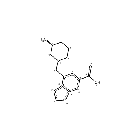 C[C@H]1CCCN(Cc2cc(C(=O)O)nc3sccc23)C1